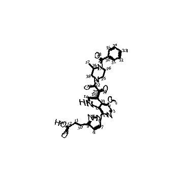 COc1cnc(-n2ccc(CCC(=O)O)n2)c2[nH]cc(C(=O)C(=O)N3CCN(C(=O)c4ccccc4)C(C)C3)c12